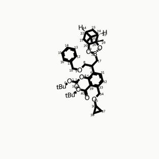 CC(C)(C)OC(=O)Oc1c(C(COCc2ccccc2)CB2OC3C[C@H]4C[C@H](C4(C)C)[C@]3(C)O2)ccc(COC2CC2)c1C(=O)OC(C)(C)C